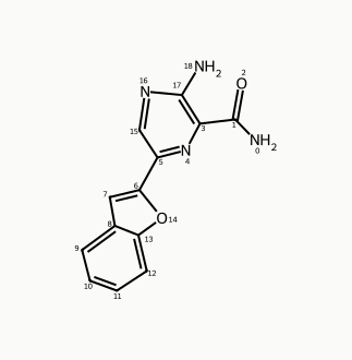 NC(=O)c1nc(-c2cc3ccccc3o2)cnc1N